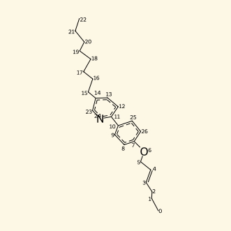 CCCC=CCOc1ccc(-c2ccc(CCCCCCCC)cn2)cc1